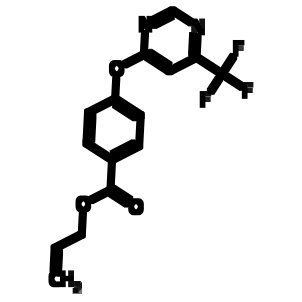 C=CCOC(=O)c1ccc(Oc2cc(C(F)(F)F)ncn2)cc1